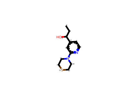 CCC(O)c1ccnc(N2CCSCC2)c1